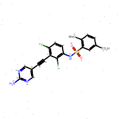 COc1ccc(C(=O)O)cc1S(=O)(=O)Nc1ccc(F)c(C#Cc2cnc(N)nc2)c1F